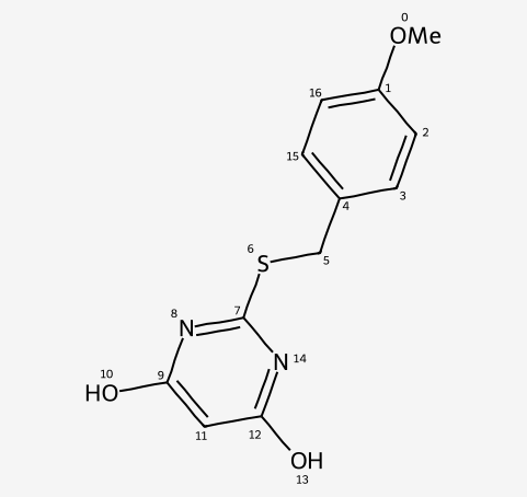 COc1ccc(CSc2nc(O)cc(O)n2)cc1